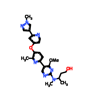 COc1nc(N(C)C(C)CCO)ncc1-c1ccc(Oc2ccnc(-c3cnn(C)c3)c2)c(C)n1